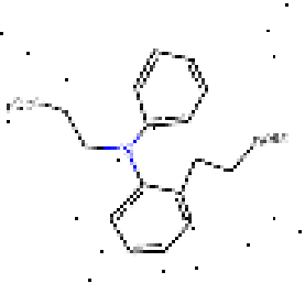 CCCCCCCCCCCCc1ccccc1N(CCCCCCCCCCCC)c1ccccc1